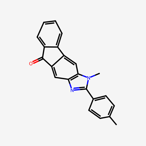 Cc1ccc(-c2nc3cc4c(cc3n2C)-c2ccccc2C4=O)cc1